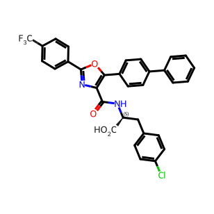 O=C(N[C@@H](Cc1ccc(Cl)cc1)C(=O)O)c1nc(-c2ccc(C(F)(F)F)cc2)oc1-c1ccc(-c2ccccc2)cc1